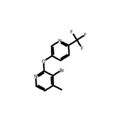 Cc1ccnc(Oc2ccc(C(F)(F)F)nc2)c1Br